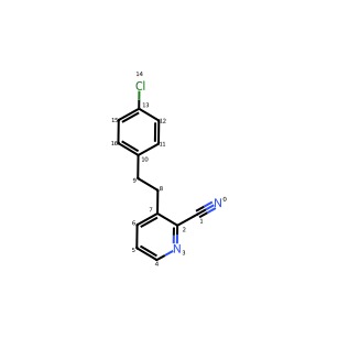 N#Cc1ncccc1CCc1ccc(Cl)cc1